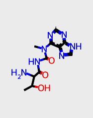 CC(O)C(N)C(=O)NC(=O)N(C)c1n[c]nc2[nH]cnc12